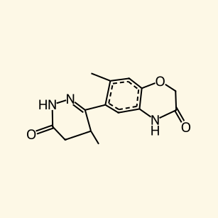 Cc1cc2c(cc1C1=NNC(=O)CC1C)NC(=O)CO2